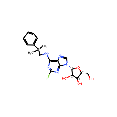 C[Si](C)(CNc1nc(F)nc2c1ncn2[C@@H]1O[C@H](CO)[C@@H](O)[C@H]1O)c1ccccc1